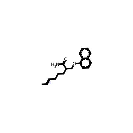 C/C=C/CCCC(COc1cccc2ccccc12)C(N)=O